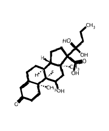 CCCC(O)(O)C1(C(=O)O)CC[C@H]2[C@@H]3CCC4=CC(=O)CC[C@]4(C)[C@]3(F)C(O)C[C@@]21C